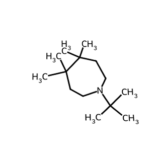 CC(C)(C)N1CCC(C)(C)C(C)(C)CC1